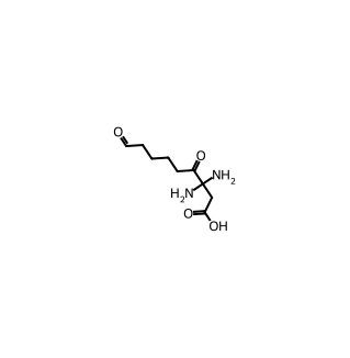 NC(N)(CC(=O)O)C(=O)CCCCC=O